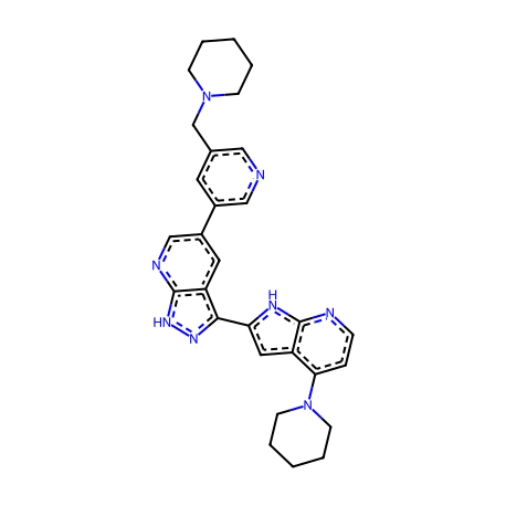 c1cc(N2CCCCC2)c2cc(-c3n[nH]c4ncc(-c5cncc(CN6CCCCC6)c5)cc34)[nH]c2n1